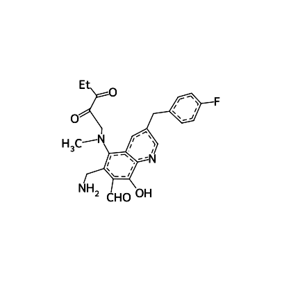 CCC(=O)C(=O)CN(C)c1c(CN)c(C=O)c(O)c2ncc(Cc3ccc(F)cc3)cc12